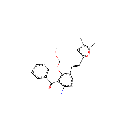 COCOc1c(C=Cc2cc(C)c(C)o2)ccc(N)c1C(=O)c1ccccc1